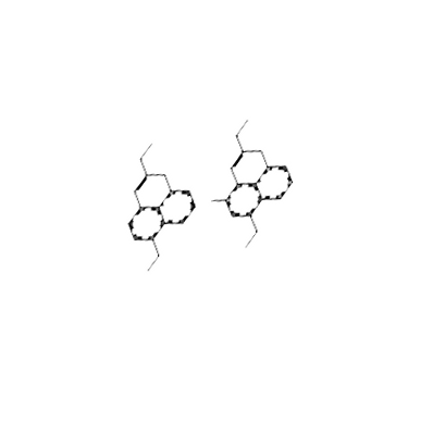 CCC1=Cc2c(O)cc(CC)c3cccc(c23)C1.CCC1=Cc2ccc(CC)c3cccc(c23)C1